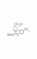 COC(=O)N1CCC(C(=O)O)CC1c1cccc(C(F)(F)F)c1